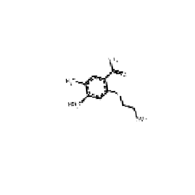 COCCOc1cc(C(=O)O)c(C)cc1C(N)=O